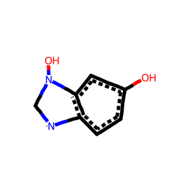 Oc1ccc2c(c1)N(O)C[N]2